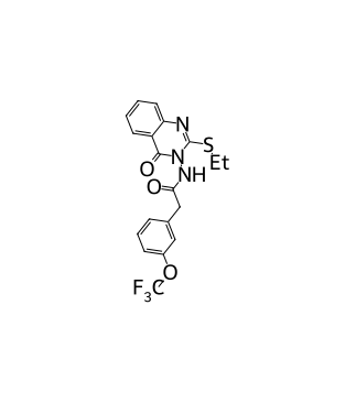 CCSc1nc2ccccc2c(=O)n1NC(=O)Cc1cccc(OC(F)(F)F)c1